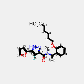 [2H]C(c1ccccc1OCCCCCC(=O)O)N(C(=O)c1n[nH]c(-c2ccco2)c1F)C(C)C